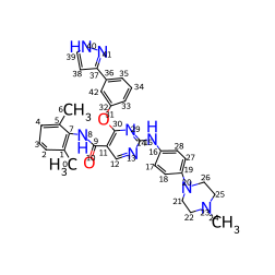 Cc1cccc(C)c1NC(=O)c1cnc(Nc2ccc(N3CCN(C)CC3)cc2)nc1Oc1cccc(-c2cc[nH]n2)c1